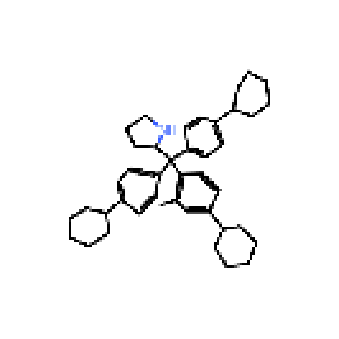 Cc1cc(C2CCCCC2)ccc1C(c1ccc(C2CCCCC2)cc1)(c1ccc(C2CCCCC2)cc1)C1CCCN1